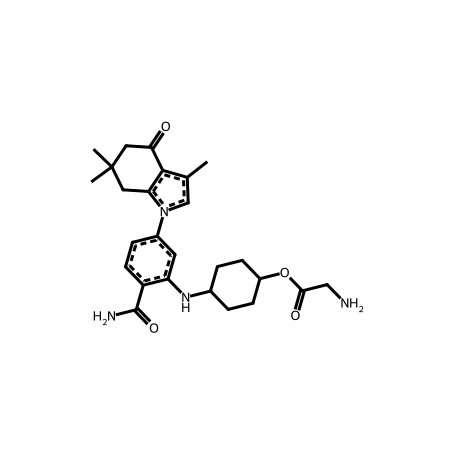 Cc1cn(-c2ccc(C(N)=O)c(NC3CCC(OC(=O)CN)CC3)c2)c2c1C(=O)CC(C)(C)C2